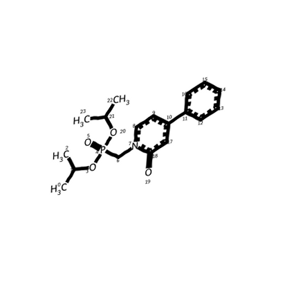 CC(C)OP(=O)(Cn1ccc(-c2ccccc2)cc1=O)OC(C)C